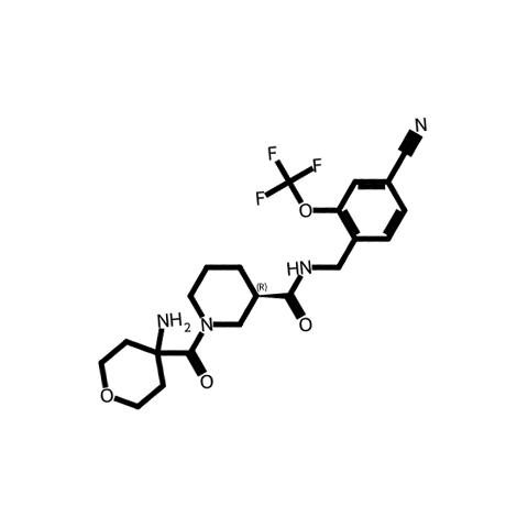 N#Cc1ccc(CNC(=O)[C@@H]2CCCN(C(=O)C3(N)CCOCC3)C2)c(OC(F)(F)F)c1